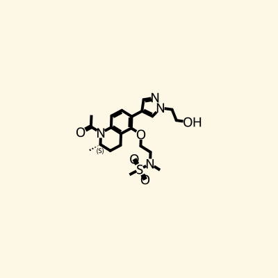 CC(=O)N1c2ccc(-c3cnn(CCO)c3)c(OCCN(C)S(C)(=O)=O)c2CC[C@@H]1C